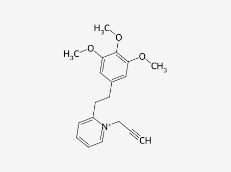 C#CC[n+]1ccccc1CCc1cc(OC)c(OC)c(OC)c1